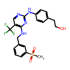 CS(=O)(=O)c1cccc(CNc2nc(Nc3ccc(CCO)cc3)ncc2C(F)(F)F)c1